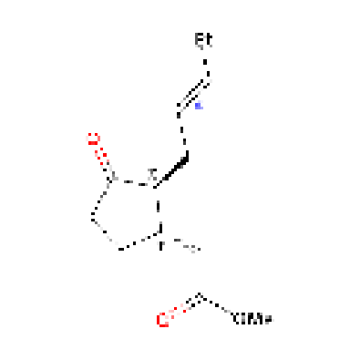 CC/C=C/C[C@@H]1C(=O)CC[C@H]1CC(=O)OC